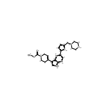 CC(C)(C)OC(=O)N1CC=C(c2c[nH]c3ncc(-c4ccc(CN5CCOCC5)s4)nc23)CC1